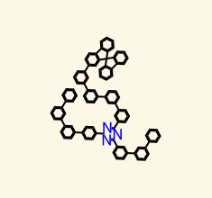 c1ccc(-c2cccc(-c3cccc(-c4ccc(-c5nc(-c6cccc(-c7cccc(-c8ccccc8)c7)c6)nc(-c6cccc(-c7cccc(-c8cccc(-c9cccc(-c%10ccc%11c(c%10)C%10(c%12ccccc%12-c%12ccccc%12%10)c%10ccccc%10-%11)c9)c8)c7)c6)n5)cc4)c3)c2)cc1